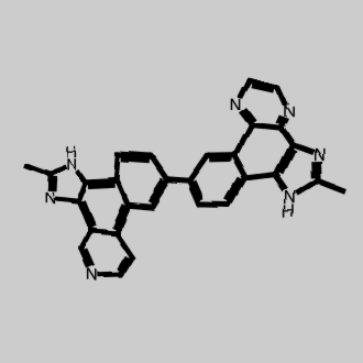 Cc1nc2c3cnccc3c3cc(-c4ccc5c(c4)c4nccnc4c4nc(C)[nH]c54)ccc3c2[nH]1